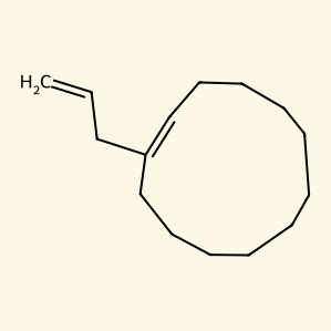 C=CC/C1=C/CCCCCCCCCC1